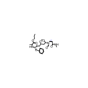 CCCOC(=O)[C@H](C)NP(OCC(CC(Cl)N(C=O)/C=C\C(=O)NC)OC)Oc1ccccc1